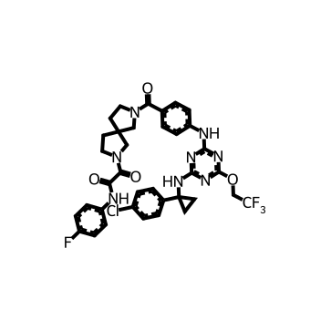 O=C(Nc1ccc(F)cc1)C(=O)N1CCC2(CCN(C(=O)c3ccc(Nc4nc(NC5(c6ccc(Cl)cc6)CC5)nc(OCC(F)(F)F)n4)cc3)C2)C1